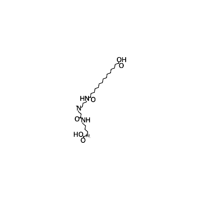 C[C@@H](CCCCNC(=O)CCN(C)CCCNC(=O)CCCCCCCCCCCCCC(=O)O)C(=O)O